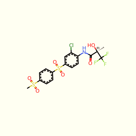 C[C@@](O)(C(=O)Nc1ccc(S(=O)(=O)c2ccc(S(C)(=O)=O)cc2)cc1Cl)C(F)(F)F